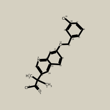 CC(C)(C(=O)Cl)c1cnc2cc(OCc3cccc(Cl)c3)ccc2c1